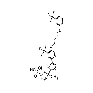 C[C@](N)(COP(=O)(O)O)c1ncc(-c2ccc(OCCCCOc3cccc(C(F)(F)F)c3)c(C(F)(F)F)c2)s1